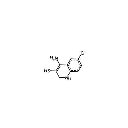 NC1=C(S)CNc2ccc(Cl)cc21